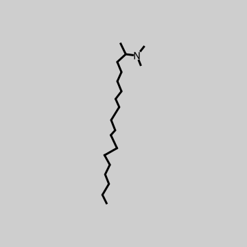 CCCCCCCCCCCCCCCCC(C)N(C)C